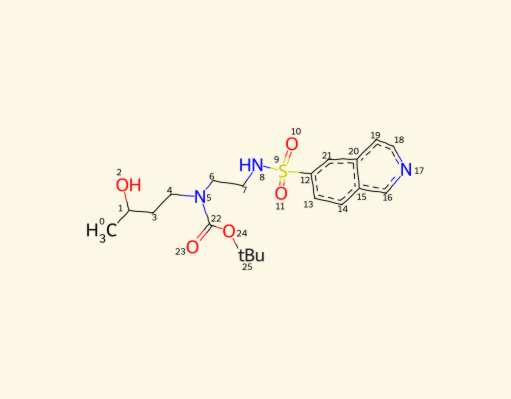 CC(O)CCN(CCNS(=O)(=O)c1ccc2cnccc2c1)C(=O)OC(C)(C)C